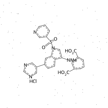 CNc1cn(S(=O)(=O)c2cccnc2)c2cc(-c3cncnc3)ccc12.Cl.O=C(O)c1cccc(C(=O)O)c1